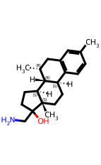 Cc1ccc2c(c1)C[C@@H](C)[C@@H]1[C@@H]2CC[C@@]2(C)[C@H]1CCC2(O)CN